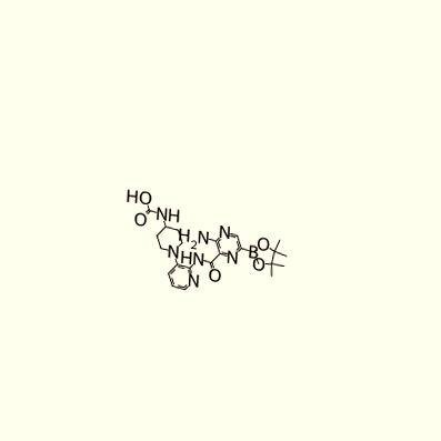 CC1(C)OB(c2cnc(N)c(C(=O)Nc3ncccc3N3CCC(NC(=O)O)CC3)n2)OC1(C)C